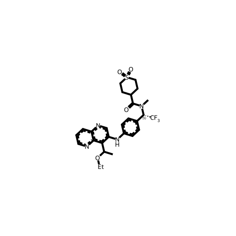 CCOC(C)c1c(Nc2ccc([C@H](N(C)C(=O)C3CCS(=O)(=O)CC3)C(F)(F)F)cc2)cnc2cccnc12